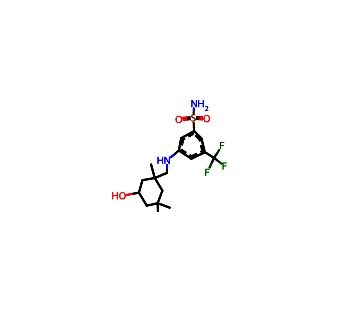 CC1(C)CC(O)CC(C)(CNc2cc(C(F)(F)F)cc(S(N)(=O)=O)c2)C1